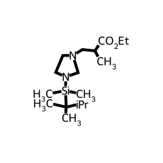 CCOC(=O)C(C)CN1CCN([Si](C)(C)C(C)(C)C(C)C)C1